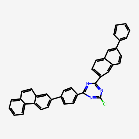 Clc1nc(-c2ccc(-c3ccc4c(ccc5ccccc54)c3)cc2)nc(-c2ccc3cc(-c4ccccc4)ccc3c2)n1